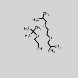 CC(C)(C)OCCO.CC(C)COCCOCC(C)C